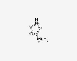 [MgH2].c1c[nH]cn1